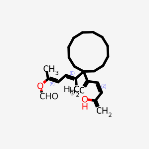 C=C(O)/C=C\C(=C)C1(/C(C)=C/C=C(\C)OC=O)CCCCCCCCCCC1